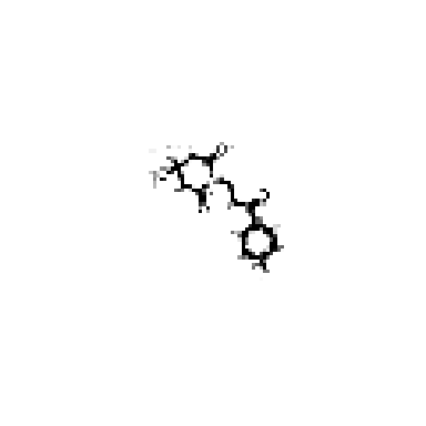 CC1(C)CC(=O)N(CCC(=O)c2ccc(F)cc2)C(=O)C1